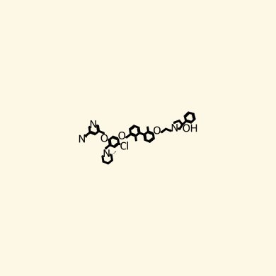 Cc1c(COc2cc(OCc3cncc(C#N)c3)c(CN3CCCC[C@H]3C)cc2Cl)cccc1-c1cccc(OCCCN2CCC(O)(c3ccccc3)C2)c1C